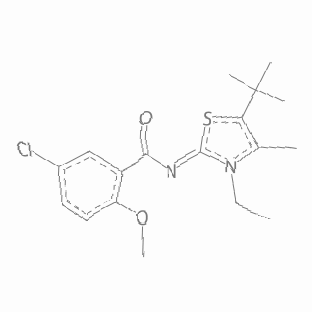 CCn1c(C)c(C(C)(C)C)s/c1=N\C(=O)c1cc(Cl)ccc1OC